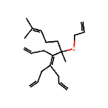 C=CCOC(C)(CCC=C(C)C)C(CC=C)=C(CC=C)CC=C